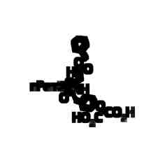 CCCCCNC(=O)[C@H](Cc1ccc(OC(C(=O)O)C(=O)O)cc1)NC(=O)CNC(=O)OCc1ccccc1